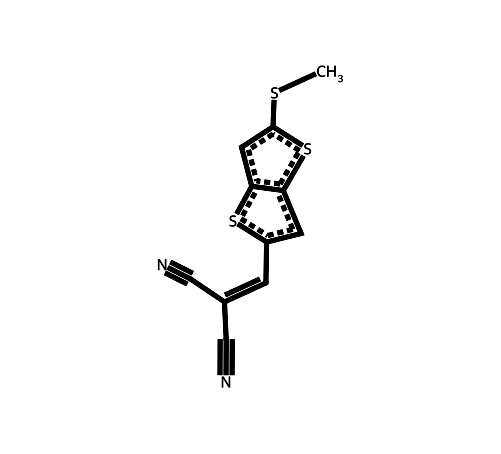 CSc1cc2sc(C=C(C#N)C#N)cc2s1